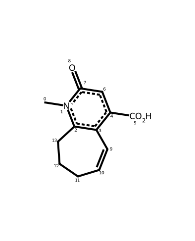 Cn1c2c(c(C(=O)O)cc1=O)C=CCCC2